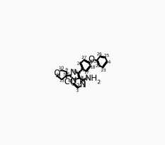 Nc1nccn2c(C3(C(=O)O)CCOCC3)nc(-c3ccc(Oc4ccccc4)cc3)c12